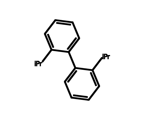 CC(C)c1ccccc1-c1ccccc1C(C)C